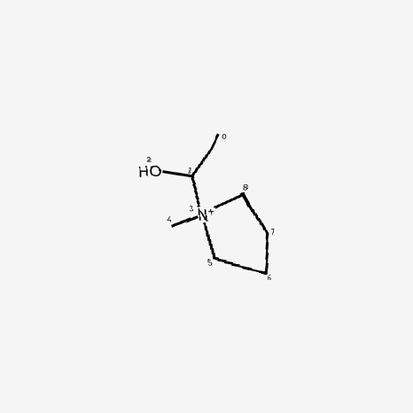 CC(O)[N+]1(C)CCCC1